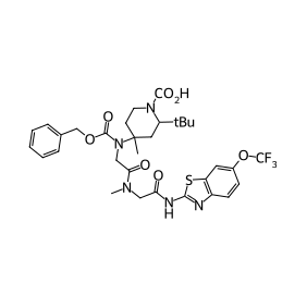 CN(CC(=O)Nc1nc2ccc(OC(F)(F)F)cc2s1)C(=O)CN(C(=O)OCc1ccccc1)C1(C)CCN(C(=O)O)C(C(C)(C)C)C1